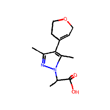 Cc1nn(C(C)C(=O)O)c(C)c1C1=CCOCC1